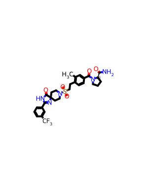 Cc1cc(C(=O)N2CCC[C@@H]2C(N)=O)ccc1CCS(=O)(=O)N1CCC2(CC1)N=C(c1cccc(C(F)(F)F)c1)NC2=O